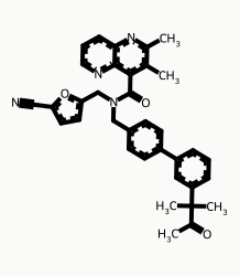 CC(=O)C(C)(C)c1cccc(-c2ccc(CN(Cc3ccc(C#N)o3)C(=O)c3c(C)c(C)nc4cccnc34)cc2)c1